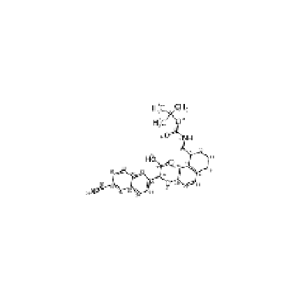 CC(C)(C)OC(=O)NCC1CCCc2ccc(OC(C(=O)O)c3ccc4cc(C#N)ccc4c3)cc21